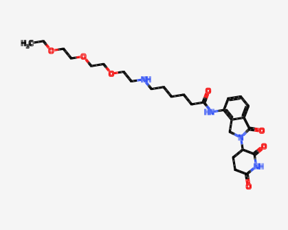 CCOCCOCCOCCNCCCCCC(=O)Nc1cccc2c1CN(C1CCC(=O)NC1=O)C2=O